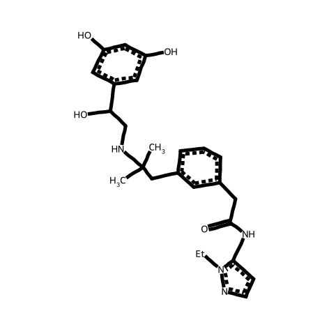 CCn1nccc1NC(=O)Cc1cccc(CC(C)(C)NCC(O)c2cc(O)cc(O)c2)c1